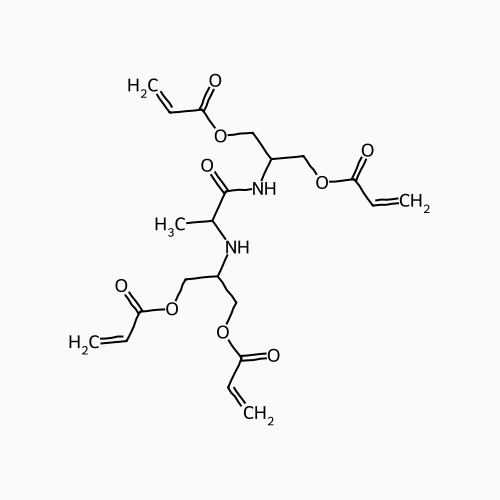 C=CC(=O)OCC(COC(=O)C=C)NC(=O)C(C)NC(COC(=O)C=C)COC(=O)C=C